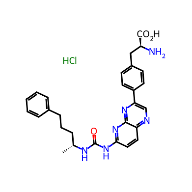 C[C@H](CCCc1ccccc1)NC(=O)Nc1ccc2ncc(-c3ccc(C[C@H](N)C(=O)O)cc3)nc2n1.Cl